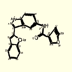 O=C(Nc1ccc2[nH]nc(-c3cc4ccccc4o3)c2c1)c1ccoc1